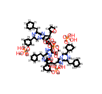 O=P(O)(O)Oc1cccc(-c2cn3c(OCOP(=O)(OCOc4c(Cc5ccco5)nc5c(Cc6ccccc6)nc(-c6cccc(OP(=O)(O)O)c6)cn45)OCOc4c(Cc5ccco5)nc5c(Cc6ccccc6)nc(-c6cccc(OP(=O)(O)O)c6)cn45)c(Cc4ccco4)nc3c(Cc3ccccc3)n2)c1